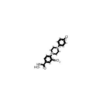 O=C(NO)c1ccc(N2CCN(c3ccc(Cl)cc3)CC2)c([N+](=O)[O-])c1